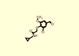 COc1cc(C=O)cc(Cl)c1OCC(=O)NC1CC1